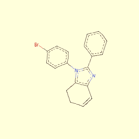 Brc1ccc(-n2c(-c3ccccc3)nc3c2CCC=C3)cc1